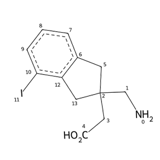 NCC1(CC(=O)O)Cc2cccc(I)c2C1